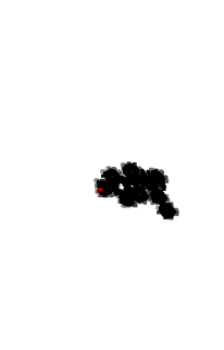 c1ccc(-c2ccc(-c3nc(-n4c5ccccc5c5c6cc7ccccc7n(-c7ccccc7)cc7ccccc7c6c6ccccc6c54)nc4cccnc34)cc2)cc1